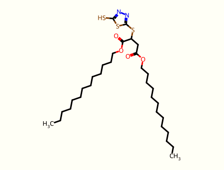 CCCCCCCCCCCCCOC(=O)CC(Sc1nnc(S)s1)C(=O)OCCCCCCCCCCCCC